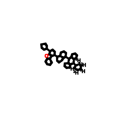 [2H]c1c([2H])c([2H])c(-c2c3ccccc3c(-c3cccc4c(-c5ccc(-c6ccccc6)c6oc7ccccc7c56)cccc34)c3ccccc23)c([2H])c1[2H]